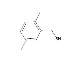 Cc1ccc(C)c(CS)c1